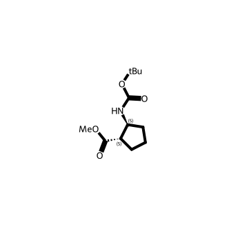 COC(=O)[C@H]1CCC[C@@H]1NC(=O)OC(C)(C)C